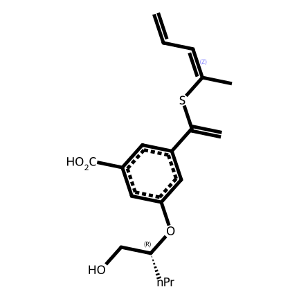 C=C/C=C(/C)SC(=C)c1cc(O[C@@H](CO)CCC)cc(C(=O)O)c1